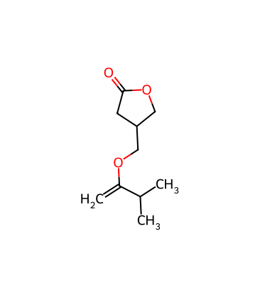 C=C(OCC1COC(=O)C1)C(C)C